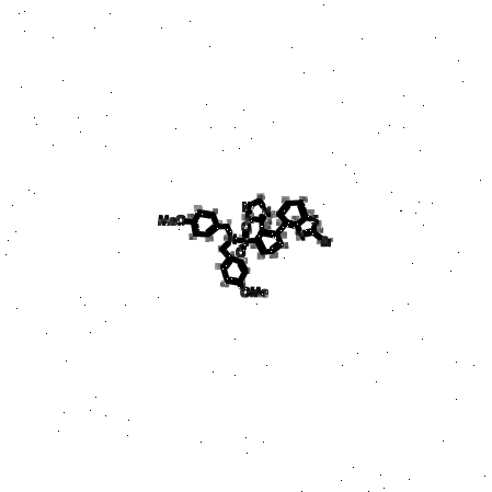 COc1ccc(CN(Cc2ccc(OC)cc2)S(=O)(=O)c2cccc(-c3cccc4sc(Br)nc34)c2C2=NCN=N2)cc1